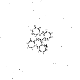 c1ccc2c(c1)-c1cccnc1N1c3ncccc3-c3ccccc3P21